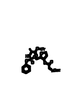 CCCCCCCCCCCC(=O)OC1CCOC1CO[P@@](=O)(N[C@@H](C)C(=O)OC(C)C)Oc1ccccc1